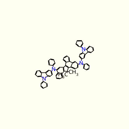 CC1(C)c2c(cc(N(c3ccccc3)c3ccc4c(c3)c3ccccc3n4-c3ccccc3)c3ccccc23)-c2c1c1ccc(N(c3ccccc3)c3ccc4c(c3)c3ccccc3n4-c3ccccc3)cc1c1ccccc21